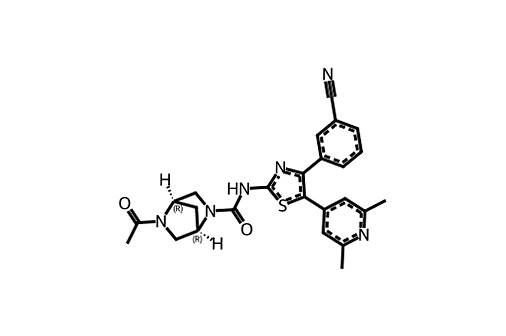 CC(=O)N1C[C@H]2C[C@@H]1CN2C(=O)Nc1nc(-c2cccc(C#N)c2)c(-c2cc(C)nc(C)c2)s1